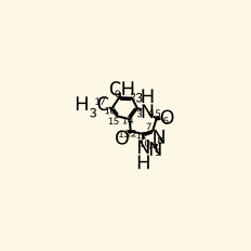 Cc1cc2[nH]c(=O)c3nn[nH]c3c(=O)c2cc1C